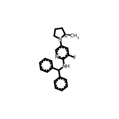 C[C@@H]1CCCN1c1cnc(NC(c2ccccc2)c2ccccc2)c(F)c1